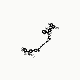 C#Cc1c(F)ccc2cc(O)cc(-c3ccc4c(C5CC6CCC(C5)N6)nc(OCC5CCN(CCCCCCCCCCC(=O)N6CCC(c7ccc8c(C9CCC(=O)NC9=O)nn(C)c8c7)CC6)C5)nc4c3)c12